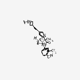 CC(C)(C(=O)Nc1ccc(C#N)c(C(F)(F)F)c1)n1cc(C#CC2CNC2)cn1